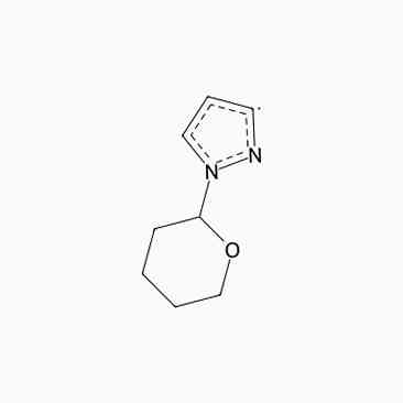 [c]1ccn(C2CCCCO2)n1